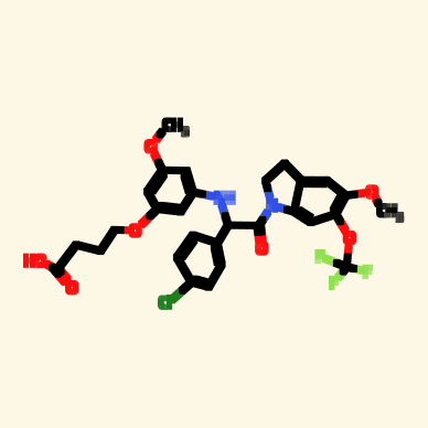 COc1cc(NC(C(=O)N2CCc3cc(OC)c(OC(F)(F)F)cc32)c2ccc(Cl)cc2)cc(OCCCC(=O)O)c1